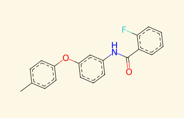 Cc1ccc(Oc2cccc(NC(=O)c3ccccc3F)c2)cc1